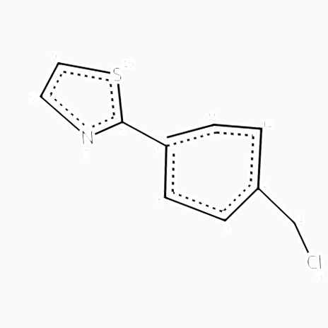 ClCc1ccc(-c2nccs2)cc1